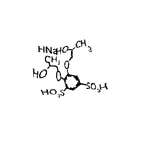 CC(O)COc1cc(S(=O)(=O)O)cc(S(=O)(=O)O)c1OCC(C)O.[NaH]